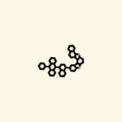 c1ccc(-c2c3ccccc3c(-c3ccc(-c4ccc5sc6ccc7sc8c9ccccc9ccc8c7c6c5c4)c4ccccc34)c3ccccc23)cc1